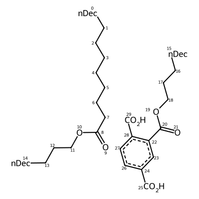 CCCCCCCCCCCCCCCCCC(=O)OCCCCCCCCCCCCC.CCCCCCCCCCCCCOC(=O)c1cc(C(=O)O)ccc1C(=O)O